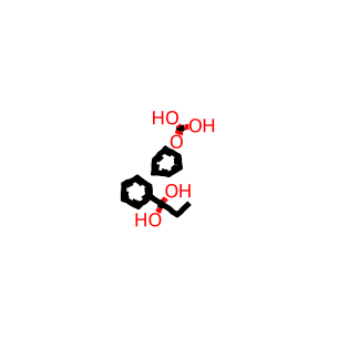 CCC(O)(O)c1ccccc1.O=C(O)O.c1ccccc1